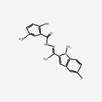 Bc1ccc(O)c(C(=O)N/N=C(\C)c2cc3cc(F)ccc3n2C)c1